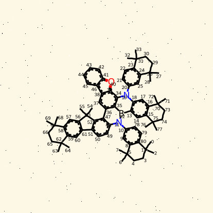 CC1(C)CCC(C)(C)c2cc(N3B4c5cc6c(cc5N(c5ccc7c(c5)C(C)(C)CCC7(C)C)c5c4c(cc4c5oc5ccccc54)-c4c3ccc3c4C(C)(C)c4cc5c(cc4-3)C(C)(C)CCC5(C)C)C(C)(C)CCC6(C)C)ccc21